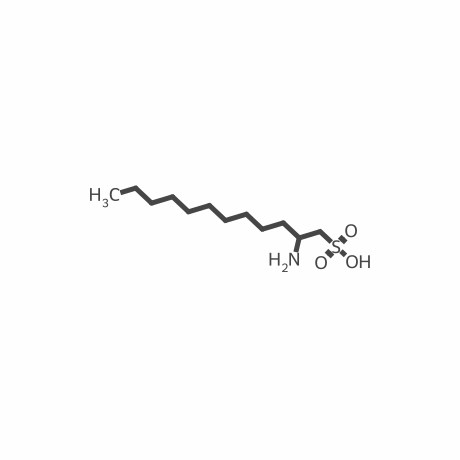 CCCCCCCCCCC(N)CS(=O)(=O)O